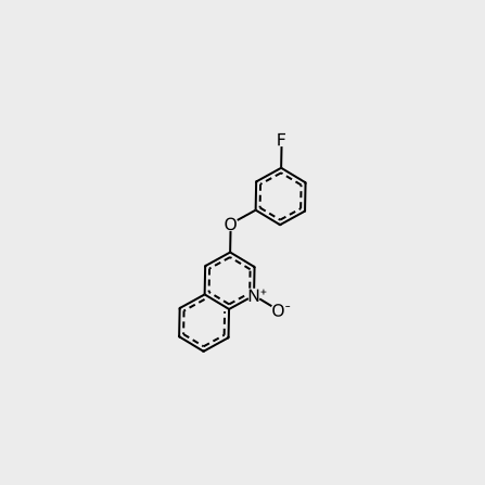 [O-][n+]1cc(Oc2cccc(F)c2)cc2ccccc21